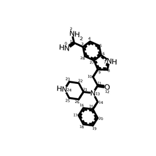 N=C(N)c1ccc2[nH]cc(CC(=O)N(Cc3ccccc3)C3CCNCC3)c2c1